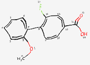 COc1ccccc1-c1ccc(C(=O)O)cc1F